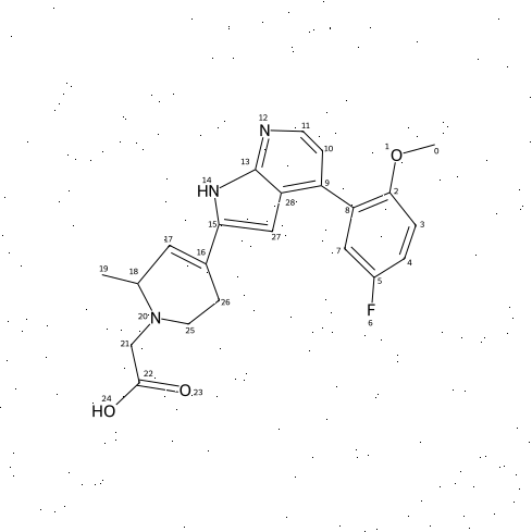 COc1ccc(F)cc1-c1ccnc2[nH]c(C3=CC(C)N(CC(=O)O)CC3)cc12